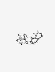 O=C(Oc1ncc2ccccc2n1)C(F)(F)F